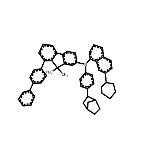 CC1(C)c2cc(N(c3ccc(C4CC5CCC4C5)cc3)c3cccc4ccc(C5CCCCC5)cc34)ccc2-c2cccc(-c3ccc(-c4ccccc4)cc3)c21